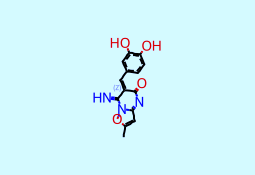 CC1=CC2=NC(=O)/C(=C\c3ccc(O)c(O)c3)C(=N)N2O1